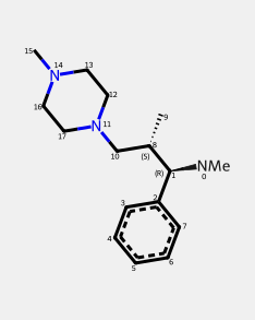 CN[C@@H](c1ccccc1)[C@@H](C)CN1CCN(C)CC1